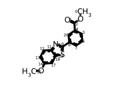 COC(=O)c1cccc(-c2nc3ccc(OC)cc3s2)c1